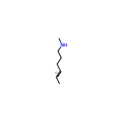 C/C=C/CCCNC